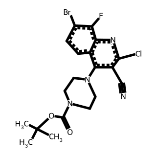 CC(C)(C)OC(=O)N1CCN(c2c(C#N)c(Cl)nc3c(F)c(Br)ccc23)CC1